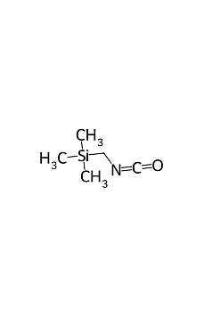 C[Si](C)(C)CN=C=O